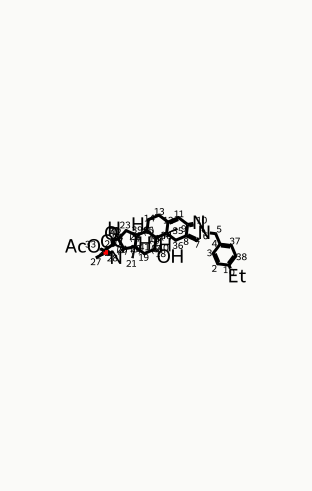 CCc1ccc(Cn2cc3c(n2)C=C2CC[C@@H]4[C@H]([C@@H](O)C[C@@]5(C)[C@H]4C[C@H]4OC(C)=N[C@]45C(=O)COC(C)=O)[C@@]2(C)C3)cc1